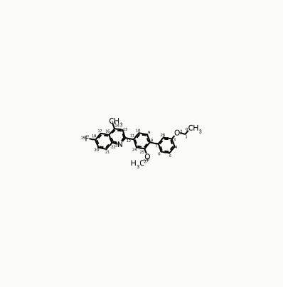 CCOc1cccc(-c2ccc(-c3cc(C)c4cc(F)ccc4n3)cc2OC)c1